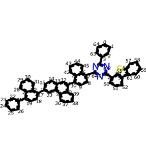 c1ccc(-c2nc(-c3ccc(-c4cc5ccc(-c6ccc(-c7ccccc7)c7ccccc67)cc5c5ccccc45)c4ccccc34)nc(-c3cccc4c3sc3ccccc34)n2)cc1